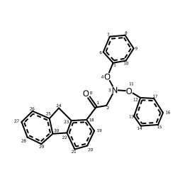 O=C(CN(Oc1ccccc1)Oc1ccccc1)c1cccc2c1Cc1ccccc1-2